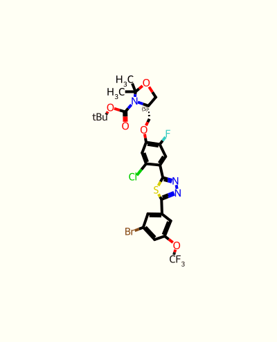 CC(C)(C)OC(=O)N1[C@@H](COc2cc(Cl)c(-c3nnc(-c4cc(Br)cc(OC(F)(F)F)c4)s3)cc2F)COC1(C)C